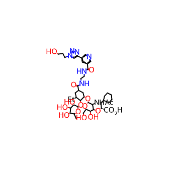 CCC1CC(C(=O)NCCNC(=O)c2cncc(-c3cn(CCCO)nn3)c2)C[C@@H](O[C@@H]2OC(CO)[C@H](O)C(O[C@@H](CC3CCCCC3)C(=O)O)C2NC(C)=O)C1O[C@@H]1OC(C)[C@@H](O)C(O)C1O